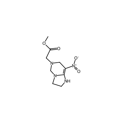 COC(=O)CN1CC([N+](=O)[O-])=C2NCCN2C1